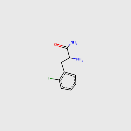 NC(=O)C(N)Cc1ccccc1F